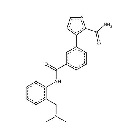 CN(C)Cc1ccccc1NC(=O)c1cccc(-c2ccsc2C(N)=O)c1